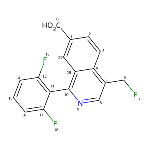 O=C(O)c1ccc2c(CF)cnc(-c3c(F)cccc3F)c2c1